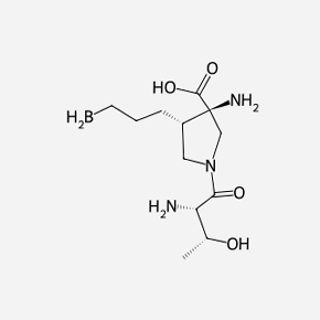 BCCC[C@H]1CN(C(=O)[C@@H](N)[C@@H](C)O)C[C@@]1(N)C(=O)O